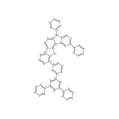 c1ccc(-c2ccc3c(c2)c2c4oc5c(-c6cccc(-c7nc(-c8ccccc8)nc(-c8ccccc8)n7)c6)cccc5c4ccc2n3-c2ccccc2)cc1